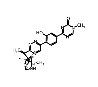 C=C(c1ncc(-c2ccc(-c3ncn(C)c(=O)n3)cc2O)nn1)[C@@H]1CC2CC3[C@](C)(N2)[C@]31F